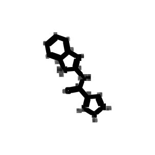 O=C(Nc1nc2ccccc2[nH]1)c1cnsn1